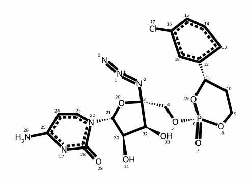 [N-]=[N+]=N[C@]1(CO[P@@]2(=O)OCC[C@@H](c3cccc(Cl)c3)O2)O[C@@H](n2ccc(N)nc2=O)[C@H](O)[C@@H]1O